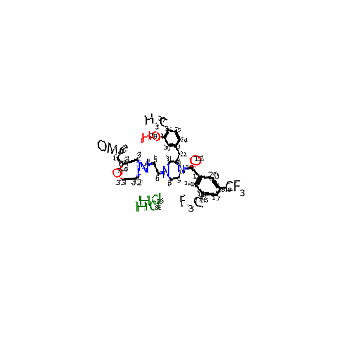 COC[C@H]1CN(CCN2CCN(C(=O)c3cc(C(F)(F)F)cc(C(F)(F)F)c3)[C@H](Cc3ccc(C)c(O)c3)C2)CCO1.Cl.Cl